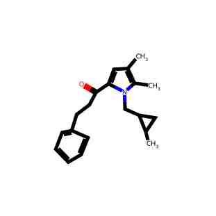 Cc1cc(C(=O)CCc2ccccc2)n(CC2CC2C)c1C